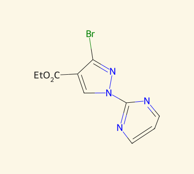 CCOC(=O)c1cn(-c2ncccn2)nc1Br